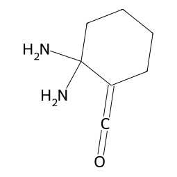 NC1(N)CCCCC1=C=O